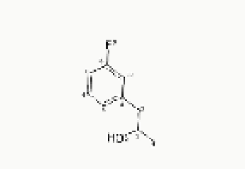 CC(O)Cc1cccc(F)c1